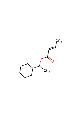 CC=CC(=O)OC(C)C1CCCCC1